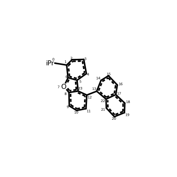 CC(C)c1cccc2c1oc1cccc(-c3cccc4ccccc34)c12